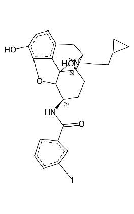 O=C(N[C@@H]1CC[C@@]2(O)C3Cc4ccc(O)c5c4C2(CCN3CC2CC2)C1O5)c1cccc(I)c1